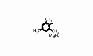 Cc1cc(C)c(I)c(C)c1.[MgH2]